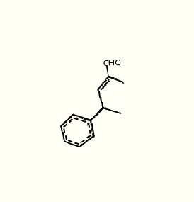 CC(C=O)=CC(C)c1ccccc1